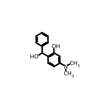 CN(C)c1ccc(C(O)c2ccccc2)c(O)c1